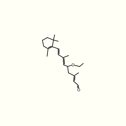 CCOC(/C=C(C)/C=C/C1=C(C)CCCC1(C)C)C/C(C)=C/C=O